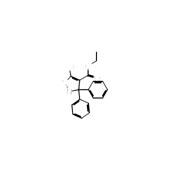 CCOC(=O)C1=C(O)N=NC1(c1ccccc1)c1ccccc1